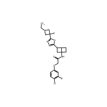 O=C(COc1ccc(Cl)c(F)c1)NC12CCC1C(c1nnc(C3(F)CN(CC(F)(F)F)C3)o1)C2